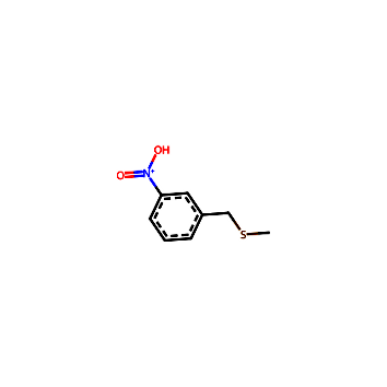 CSCc1cccc([N+](=O)O)c1